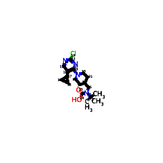 CC(C)(C)N(CC1CCN(c2nc(Cl)ncc2C2CC2)CC1)C(=O)O